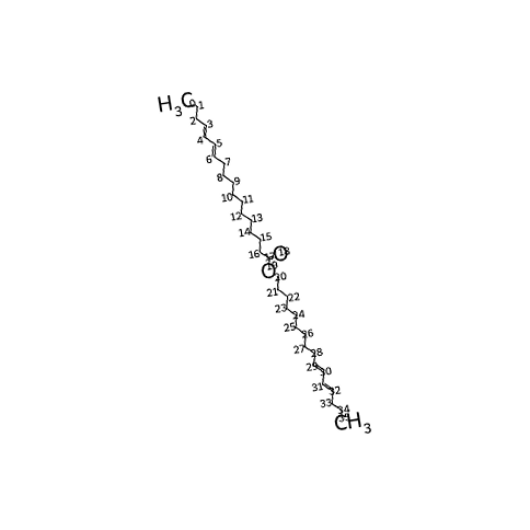 CCC/C=C/C=C/CCCCCCCCCCC(=O)OCCCCCCCCC/C=C/C=C/CCC